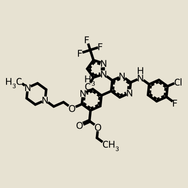 CCOC(=O)c1cc(-c2cnc(Nc3ccc(F)c(Cl)c3)nc2-n2nc(C(F)(F)F)cc2C)cnc1OCCN1CCN(C)CC1